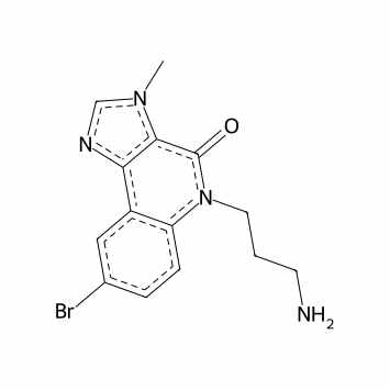 Cn1cnc2c3cc(Br)ccc3n(CCCN)c(=O)c21